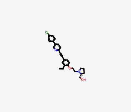 C=Cc1cc(C#Cc2ccc(-c3ccc(Cl)cc3)cn2)ccc1OCCN1CCC[C@H]1CO